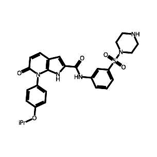 CC(C)Oc1ccc(-n2c(=O)ccc3cc(C(=O)Nc4cccc(S(=O)(=O)N5CCNCC5)c4)[nH]c32)cc1